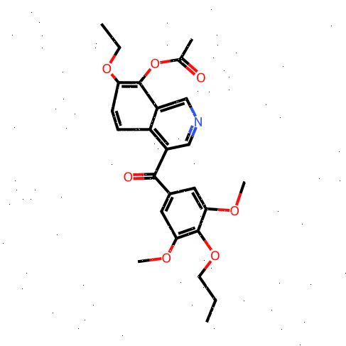 CCCOc1c(OC)cc(C(=O)c2cncc3c(OC(C)=O)c(OCC)ccc23)cc1OC